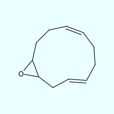 C1=C\CCC2OC2C/C=C/CC/1